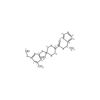 [CH2]c1cc(CO)cc(CC2(O)CCN(C(=O)C[C@@H](C)c3ccccc3)CC2)c1